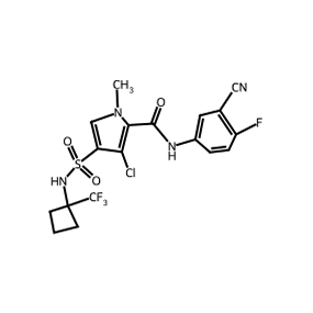 Cn1cc(S(=O)(=O)NC2(C(F)(F)F)CCC2)c(Cl)c1C(=O)Nc1ccc(F)c(C#N)c1